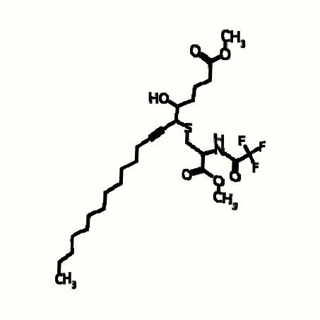 CCCCCCCCCCCCC#CC(SCC(NC(=O)C(F)(F)F)C(=O)OC)C(O)CCCC(=O)OC